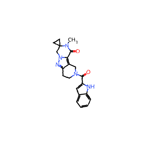 CN1C(=O)c2c3c(nn2CC12CC2)CCN(C(=O)c1cc2ccccc2[nH]1)C3